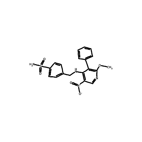 COc1ncc([N+](=O)[O-])c(NCc2ccc(S(N)(=O)=O)cc2)c1-c1ccccc1